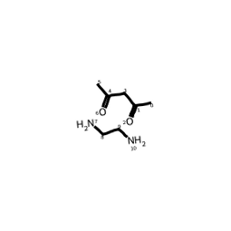 CC(=O)CC(C)=O.NCCN